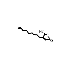 C=CCCCCCCCC1=CC(=O)OC1O